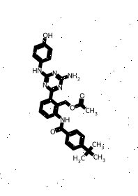 CC(=O)OCc1c(NC(=O)c2ccc(C(C)(C)C)cc2)cccc1-c1nc(N)nc(Nc2ccc(O)cc2)n1